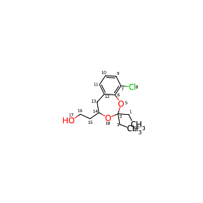 CCC1(CC)Oc2c(Cl)cccc2CC(CCO)O1